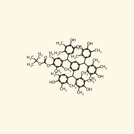 Cc1cc(C(c2cc(C(c3cc(C)c(O)c(C)c3C)c3cc(C)c(O)c(C)c3C)cc(C(c3cc(C)c(O)c(C)c3C)c3cc(C)c(OC(=O)OC(C)(C)C)c(C)c3C)c2)c2cc(C)c(O)c(C)c2C)c(C)c(C)c1O